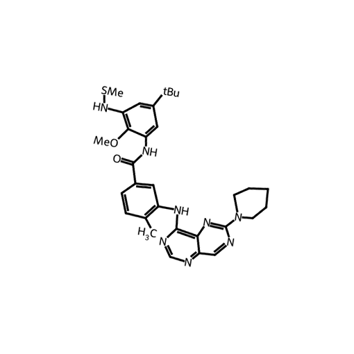 COc1c(NSC)cc(C(C)(C)C)cc1NC(=O)c1ccc(C)c(Nc2ncnc3cnc(N4CCCCC4)nc23)c1